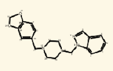 c1ccc2c(c1)cnn2CN1CCN(Cc2ccc3c(c2)OCO3)CC1